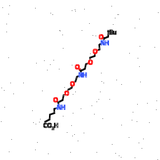 CC(C)(C)CC(=O)NCCOCCOCCC(=O)NCCOCCOCCC(=O)NCCCCCC(=O)O